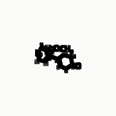 C=C.O=C1CC=C(c2ccncc2)CC1